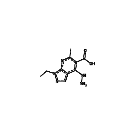 CCn1ncc2c(NN)c(C(=O)O)c(C)nc21